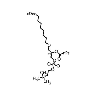 CCCCCCCCCCCCCCCCCCOC[C@H](COP(=O)([O-])OCC[N+](C)(C)C)OC(=O)CCC